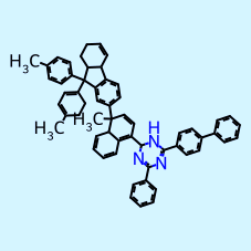 CC1=CC=C(C2(c3ccc(C)cc3)c3cc(C4(C)C=CC(C5N=C(c6ccccc6)N=C(c6ccc(-c7ccccc7)cc6)N5)=C5C=CC=CC54)ccc3C3C=CCCC32)CC1